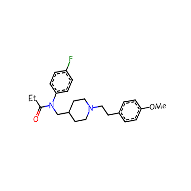 CCC(=O)N(CC1CCN(CCc2ccc(OC)cc2)CC1)c1ccc(F)cc1